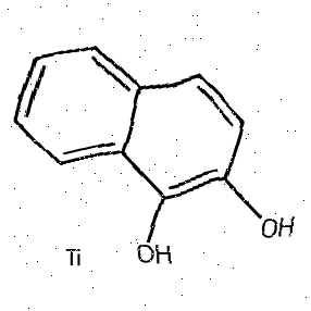 Oc1ccc2ccccc2c1O.[Ti]